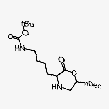 CCCCCCCCCCC1CNC(CCCCNC(=O)OC(C)(C)C)C(=O)O1